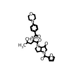 CC(C)CC(NC(=O)c1ccc(N2CCOCC2)cc1)C(=O)N1CCC2C1C(=O)CN2C(=O)c1ccco1